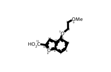 COCCOc1cccc2oc(C(=O)O)cc12